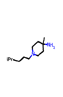 CC(C)CCCN1CCC(C)(N)CC1